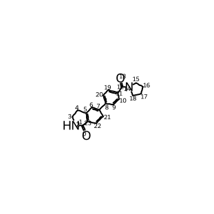 O=C1NCCc2cc(-c3ccc(C(=O)N4CCCC4)cc3)ccc21